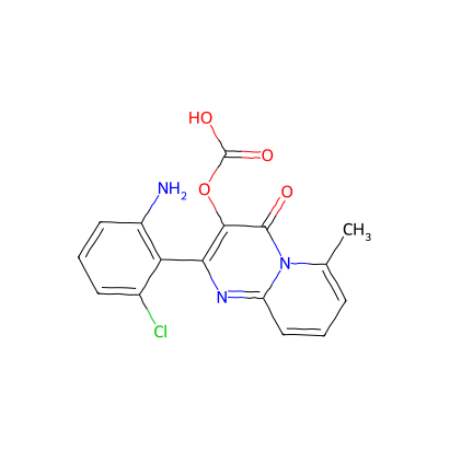 Cc1cccc2nc(-c3c(N)cccc3Cl)c(OC(=O)O)c(=O)n12